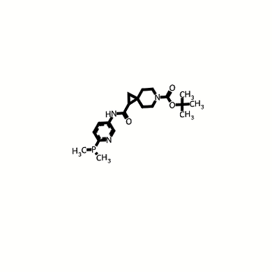 CP(C)c1ccc(NC(=O)C2CC23CCN(C(=O)OC(C)(C)C)CC3)cn1